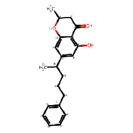 CC1CC(=O)c2c(O)cc(C(C)CCCc3ccccc3)cc2O1